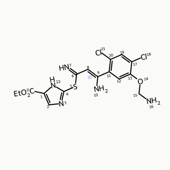 CCOC(=O)c1cnc(SC(=N)/C=C(\N)c2cc(OCN)c(Cl)cc2Cl)[nH]1